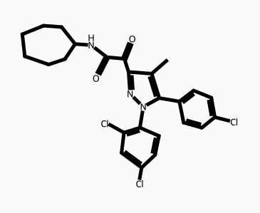 Cc1c(C(=O)C(=O)NC2CCCCCC2)nn(-c2ccc(Cl)cc2Cl)c1-c1ccc(Cl)cc1